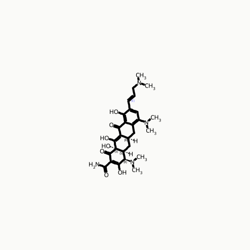 CN(C)C/C=C/c1cc(N(C)C)c2c(c1O)C(=O)C1=C(O)[C@]3(O)C(=O)C(C(N)=O)=C(O)[C@H](N(C)C)[C@@H]3C[C@@H]1C2